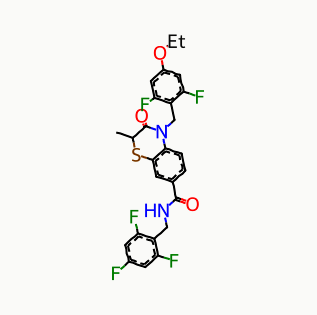 CCOc1cc(F)c(CN2C(=O)C(C)Sc3cc(C(=O)NCc4c(F)cc(F)cc4F)ccc32)c(F)c1